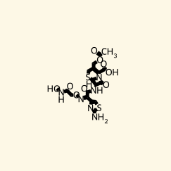 CC(=O)OCC1=C(C(=O)O)N2C(=O)[C@@H](NC(=O)/C(=N\OCC(=O)NO)c3csc(N)n3)[C@H]2SC1